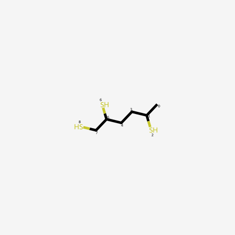 CC(S)CCC(S)CS